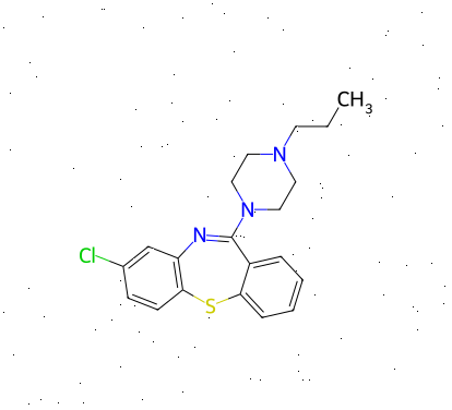 CCCN1CCN(C2=Nc3cc(Cl)ccc3Sc3ccccc32)CC1